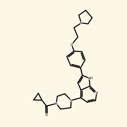 O=C(C1CC1)N1CCN(c2ccnc3[nH]c(-c4ccc(OCCN5CCCC5)cc4)cc23)CC1